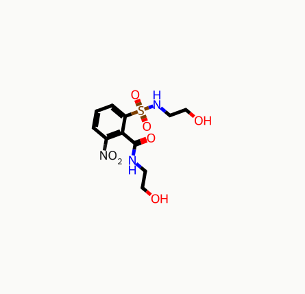 O=C(NCCO)c1c([N+](=O)[O-])cccc1S(=O)(=O)NCCO